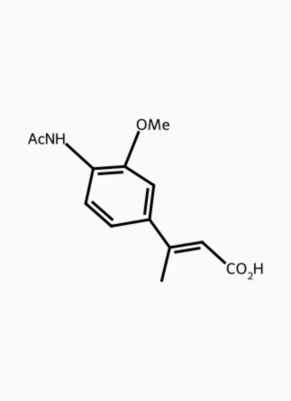 COc1cc(C(C)=CC(=O)O)ccc1NC(C)=O